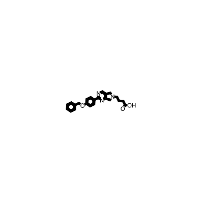 O=C(O)CCCN1Cc2cnc(-c3ccc(OCc4ccccc4)cc3)nc2C1